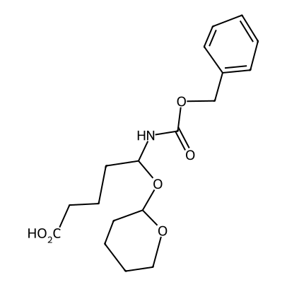 O=C(O)CCCC(NC(=O)OCc1ccccc1)OC1CCCCO1